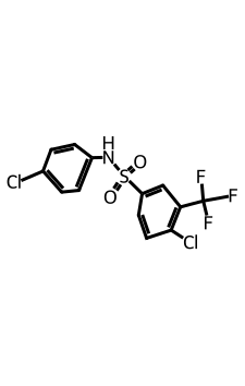 O=S(=O)(Nc1ccc(Cl)cc1)c1ccc(Cl)c(C(F)(F)F)c1